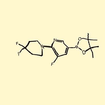 CC1(C)OB(c2cnc(N3CCC(F)(F)CC3)c(F)c2)OC1(C)C